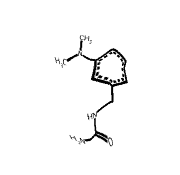 CN(C)c1cccc(CNC(N)=O)c1